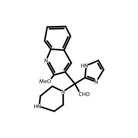 COc1nc2ccccc2cc1C(C=O)(c1ncc[nH]1)N1CCNCC1